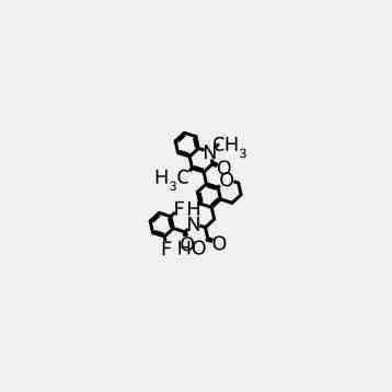 Cc1c(-c2ccc(CC(NC(=O)c3c(F)cccc3F)C(=O)O)c3c2OCCC3)c(=O)n(C)c2ccccc12